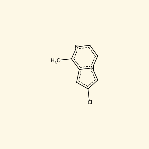 Cc1nccn2cc(Cl)cc12